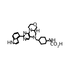 O=C(O)NC1CCC(CN2C[C@@H]3COCCN3c3nc(-c4cccc5[nH]ccc45)ncc32)CC1